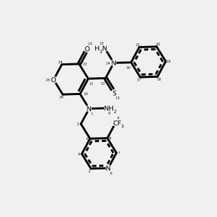 NN(Cc1ccncc1C(F)(F)F)C1=C(C(=S)N(N)c2ccccc2)C(=O)COC1